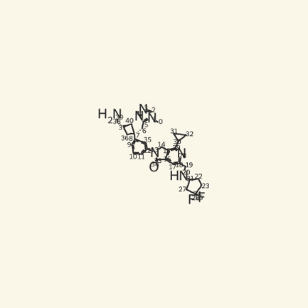 Cn1cnnc1C[C@]1(c2cccc(N3Cc4c(cc(CNC5CCC(F)(F)C5)nc4C4CC4)C3=O)c2)C[C@H](CN)C1